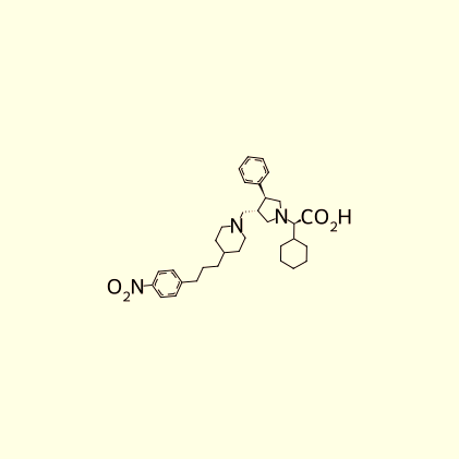 O=C(O)[C@@H](C1CCCCC1)N1C[C@H](CN2CCC(CCCc3ccc([N+](=O)[O-])cc3)CC2)[C@@H](c2ccccc2)C1